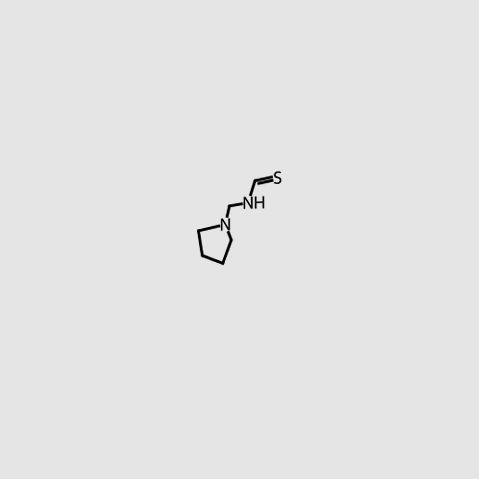 S=CNCN1CCCC1